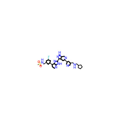 CS(=O)(=O)NCc1cc(F)cc(-c2ccnc3[nH]c(-c4n[nH]c5cnc(-c6cncc(CNCC7CCCC7)c6)cc45)nc23)c1